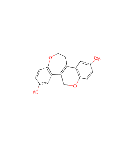 Oc1ccc2c(c1)C1=C(CO2)c2cc(O)ccc2OCC1